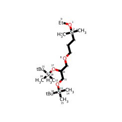 CCO[Si](C)(C)CCCOCC(CO[Si](C)(C)C(C)(C)C)O[Si](C)(C)C(C)(C)C